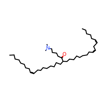 CCCCC/C=C\C/C=C\CCCCCCCCC(CCCCCCCC/C=C\CCCCCCCC)C(=O)CCCCN(C)C